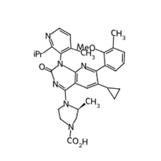 COc1c(C)cccc1-c1nc2c(cc1C1CC1)c(N1CCN(C(=O)O)C[C@@H]1C)nc(=O)n2-c1c(C)ccnc1C(C)C